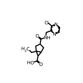 CCC12CC(C(=O)NCc3nccnc3Cl)CC1C2C(=O)O